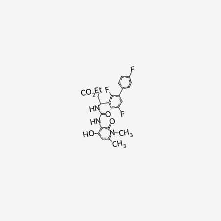 CCOC(=O)CC(NC(=O)Nc1c(O)cc(C)n(C)c1=O)c1cc(F)cc(-c2ccc(F)cc2)c1F